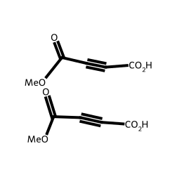 COC(=O)C#CC(=O)O.COC(=O)C#CC(=O)O